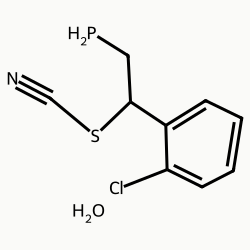 N#CSC(CP)c1ccccc1Cl.O